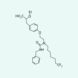 CCOC(Cc1ccc(OCCN(CCCCCCC(F)(F)F)C(=O)NCc2ccccc2)cc1)C(=O)O